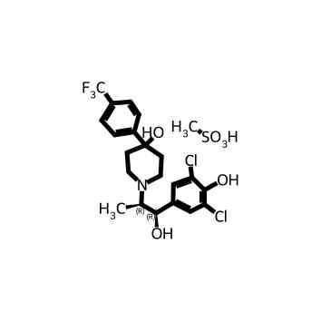 CS(=O)(=O)O.C[C@H]([C@H](O)c1cc(Cl)c(O)c(Cl)c1)N1CCC(O)(c2ccc(C(F)(F)F)cc2)CC1